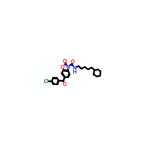 O=C(c1ccc(Cl)cc1)c1ccc2c(c1)oc(=O)n2C(=O)NCCCCCC1CCCCC1